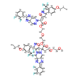 CCCOc1ccc(-c2cc(C(C(=O)OCCOCCOC(=O)C(CCOCCOC)(c3cc(-c4ccc(OCCC)cc4C(F)(F)F)no3)n3cc4nc(-c5cccc(F)c5F)nc-4cn3)n3cc4nc(-c5cccc(F)c5F)nc-4cn3)on2)c(C(F)(F)F)c1